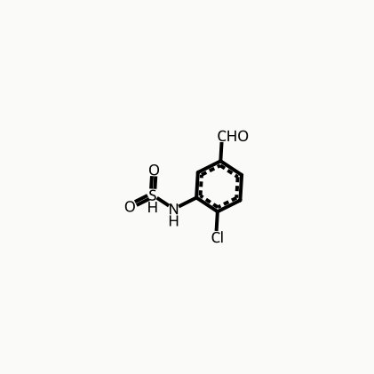 O=Cc1ccc(Cl)c(N[SH](=O)=O)c1